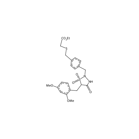 CCOC(=O)CSCc1ccc(CN2NC(=O)C(Cc3ccc(OC)cc3OC)S2(=O)=O)cc1